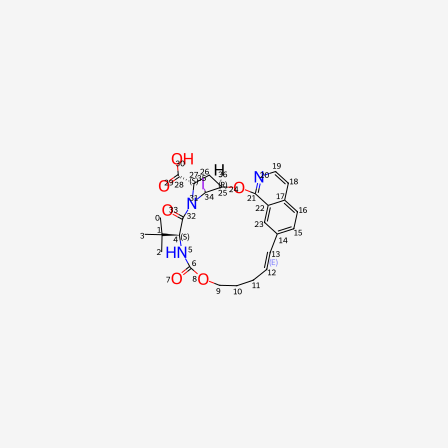 CC(C)(C)[C@@H]1NC(=O)OCCC/C=C/c2ccc3ccnc(c3c2)O[C@@H]2C[C@@H](C(=O)O)N(C1=O)C2I